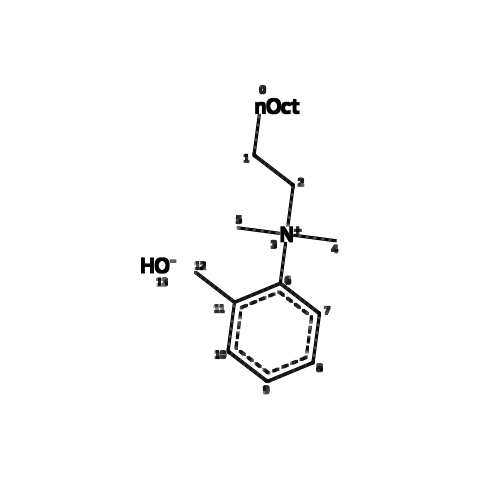 CCCCCCCCCC[N+](C)(C)c1ccccc1C.[OH-]